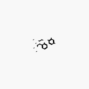 Cc1ccc(SN(CCOS(C)(=O)=O)c2ccccc2CCOS(C)(=O)=O)c(C)c1